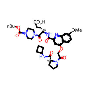 CCCCOC(=O)N1CCN(C(=O)[C@H](CCC(=O)O)NC(=O)c2cc(OCC(=O)N3CCC[C@H]3C(=O)NC3CCC3)c3ccc(OC)cc3n2)CC1